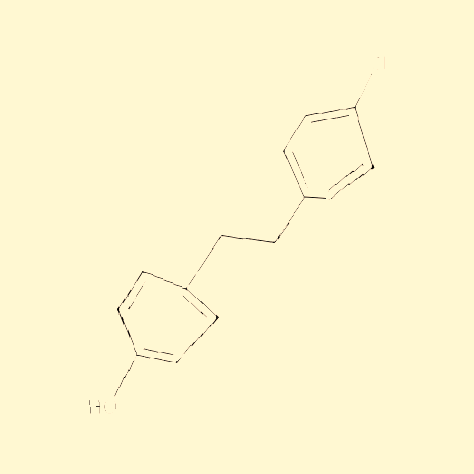 Oc1ccc(CCc2ccc(Cl)cc2)cc1